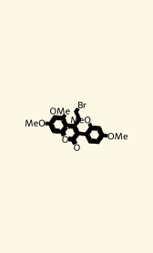 COc1ccc(-c2c(CCBr)c3c(OC)cc(OC)cc3oc2=O)c(OC)c1